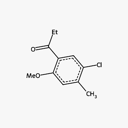 CCC(=O)c1cc(Cl)c(C)cc1OC